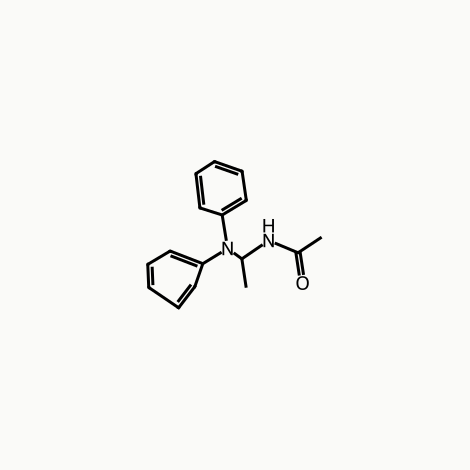 CC(=O)NC(C)N(c1ccccc1)c1ccccc1